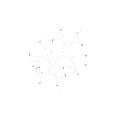 COC(=O)CCN(CCC(=O)OC)CCN(CCN(CCC(=O)OC)CCC(=O)OC)CCN(CCCCN(CCN(CCN(CCC(=O)OC)CCC(=O)OC)CCN(CCC(=O)OC)CCC(=O)OC)CCN(CCN(CCC(=O)OC)CCC(=O)OC)CCN(CCC(=O)OC)CCC(=O)OC)CCN(CCN(CCC(=O)OC)CCC(=O)OC)CCN(CCC(=O)OC)CCC(=O)OC